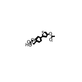 COC(C)Oc1csc(-c2ccc(CP(=O)(O)O)cc2)c1